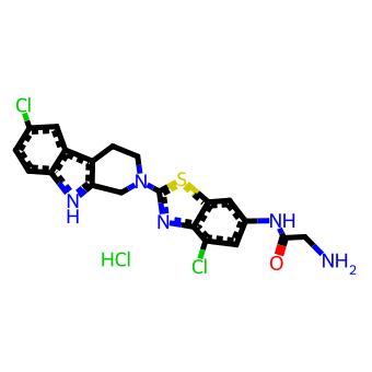 Cl.NCC(=O)Nc1cc(Cl)c2nc(N3CCc4c([nH]c5ccc(Cl)cc45)C3)sc2c1